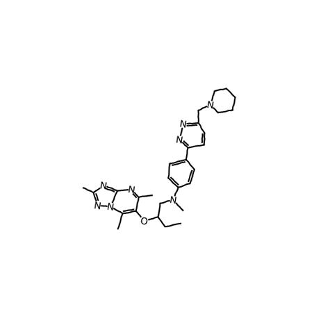 CCC(CN(C)c1ccc(-c2ccc(CN3CCCCC3)nn2)cc1)Oc1c(C)nc2nc(C)nn2c1C